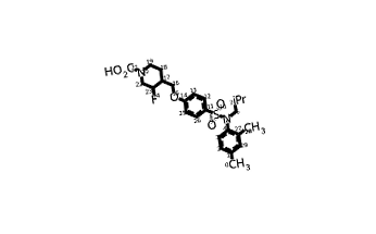 Cc1ccc(N(CC(C)C)S(=O)(=O)c2ccc(OCC3CCN(C(=O)O)CC3F)cc2)c(C)c1